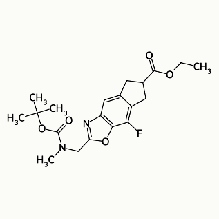 CCOC(=O)C1Cc2cc3nc(CN(C)C(=O)OC(C)(C)C)oc3c(F)c2C1